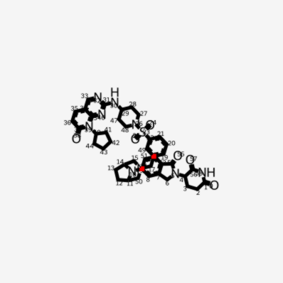 O=C1CCC(N2Cc3cc(N4C5CCC4CN(Cc4cccc(S(=O)(=O)N6CCC(Nc7ncc8ccc(=O)n(C9CCCC9)c8n7)CC6)c4)C5)ccc3C2=O)C(=O)N1